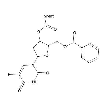 CCCCCC(=O)OC1C[C@@H](n2cc(F)c(=O)[nH]c2=O)O[C@H]1COC(=O)c1ccccc1